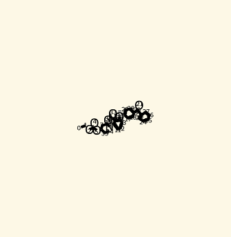 CCOC(=O)OC1CCN(c2cccc(Oc3ccc(C(=O)c4ccccc4)cc3)c2[N+](=O)[O-])CC1